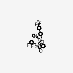 O=C(Cn1c(SCc2cccc(F)c2F)cc(=O)c2ccccc21)N(CCN1CCCC1)Cc1ccc(-c2ccc(C(F)(F)F)cc2)cc1